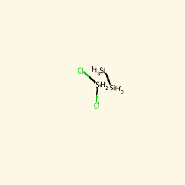 Cl[SiH2]Cl.[SiH3][SiH3]